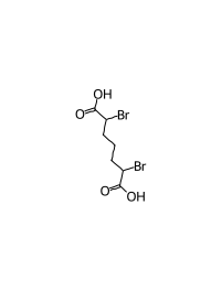 O=C(O)C(Br)CCCC(Br)C(=O)O